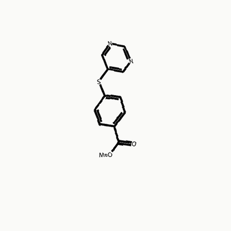 COC(=O)c1ccc(Sc2cncnc2)cc1